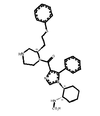 O=C(O)N[C@H]1CCCC[C@@H]1n1cnc(C(=O)N2CCNC[C@H]2CCSc2ccccc2)c1-c1ccccc1